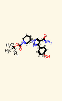 CC(C)(C)OC(=O)N1CCC[C@@H](n2cc(C(N)=O)c(-c3ccc(O)cc3)n2)C1